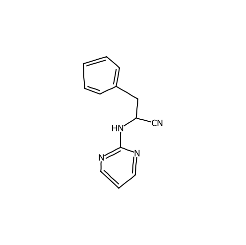 N#CC(Cc1ccccc1)Nc1ncccn1